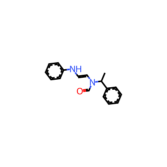 CC(c1ccccc1)N(C=O)C=CNc1ccccc1